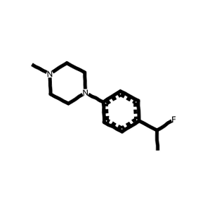 CC(F)c1ccc(N2CCN(C)CC2)cc1